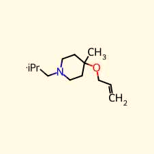 C=CCOC1(C)CCN(C[C](C)C)CC1